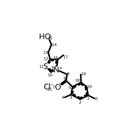 Cc1cc(C)c(C(=O)C[n+]2csc(CCO)c2C)c(C)c1.[Cl-]